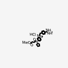 COC(=O)CCC(=O)N(c1ccc2c(c1)nc(Cc1ccc(C(=N)N)cc1)n2C)C1CCCC1.Cl